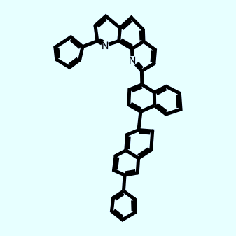 c1ccc(-c2ccc3cc(-c4ccc(-c5ccc6ccc7ccc(-c8ccccc8)nc7c6n5)c5ccccc45)ccc3c2)cc1